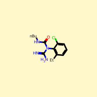 CCCCNC(=O)N(C(=N)N)c1c(Cl)cccc1CC